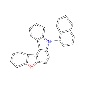 c1ccc2c(-n3c4ccccc4c4c5c(ccc43)oc3ccccc35)cccc2c1